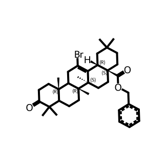 CC1(C)CC[C@]2(C(=O)OCc3ccccc3)CC[C@]3(C)C(=C(Br)CC4[C@@]5(C)CCC(=O)C(C)(C)C5CC[C@]43C)[C@@H]2C1